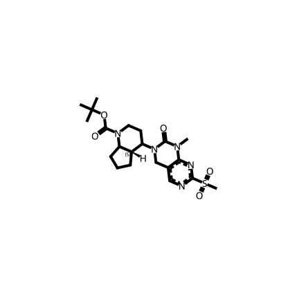 CN1C(=O)N(C2CCN(C(=O)OC(C)(C)C)C3CCC[C@H]32)Cc2cnc(S(C)(=O)=O)nc21